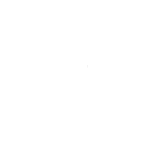 CCCCCCC#CC1(O)CCCCC1